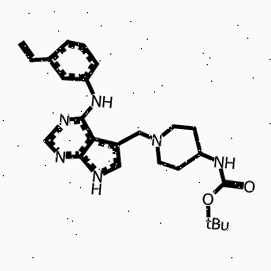 C=Cc1cccc(Nc2ncnc3[nH]cc(CN4CCC(NC(=O)OC(C)(C)C)CC4)c23)c1